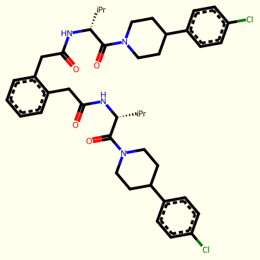 CC(C)[C@@H](NC(=O)Cc1ccccc1CC(=O)N[C@@H](C(=O)N1CCC(c2ccc(Cl)cc2)CC1)C(C)C)C(=O)N1CCC(c2ccc(Cl)cc2)CC1